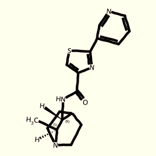 C[C@H]1[C@H](NC(=O)c2csc(-c3cccnc3)n2)C2CCN1CC2